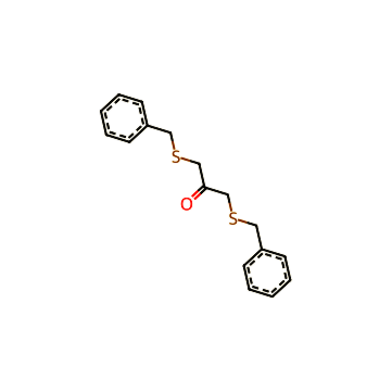 O=C(CSCc1ccccc1)CSCc1ccccc1